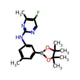 Cc1cc(Nc2ncc(F)c(C)n2)cc(B2OC(C)(C)C(C)(C)O2)c1